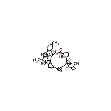 CCn1c(-c2cc(N3CCN(C)CC3)cnc2[C@H](C)OC)c2c3cc(ccc31)-c1csc(n1)C[C@H](NC(=O)[C@@H]1CCC1C#N)C(=O)N1CCC[C@H](N1)C(=O)OCC(C)(C)C2